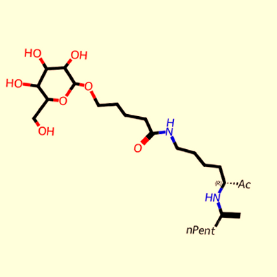 C=C(CCCCC)N[C@H](CCCCNC(=O)CCCCOC1OC(CO)C(O)C(O)C1O)C(C)=O